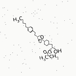 C=C(C)C(=O)OCC(CO)CC1CCC(C2OCC(CCc3ccc(CCCCC)cc3)CO2)CC1